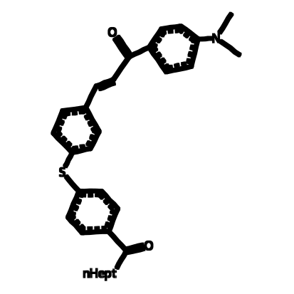 CCCCCCCC(=O)c1ccc(Sc2ccc(C=CC(=O)c3ccc(N(C)C)cc3)cc2)cc1